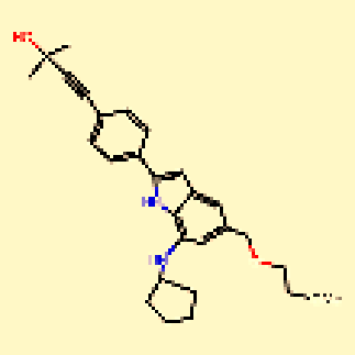 COCCOCc1cc(NC2CCCC2)c2[nH]c(-c3ccc(C#CC(C)(C)O)cc3)cc2c1